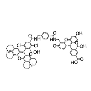 O=C(O)c1ccc(-c2c3ccc(=O)c(CNC(=O)c4ccc(CNC(=O)c5cc(Cl)c(C6=c7cc8c9c(c7Oc7c6cc6c%10c7CCCN%10CCC6)CCC[N+]=9CCC8)c(C(=O)O)c5Cl)cc4)c-3oc3cc(O)ccc23)c(C(=O)O)c1